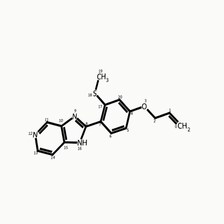 C=CCOc1ccc(-c2nc3cnccc3[nH]2)c(SC)c1